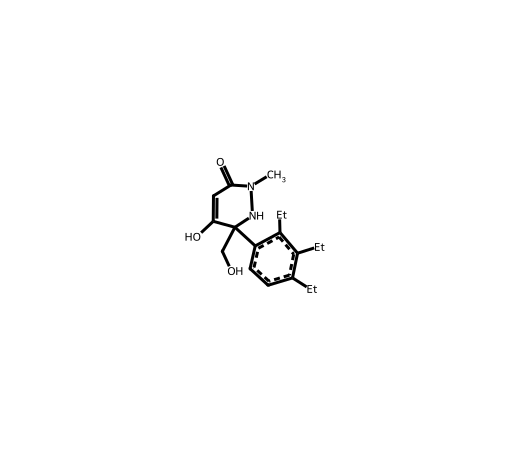 CCc1ccc(C2(CO)NN(C)C(=O)C=C2O)c(CC)c1CC